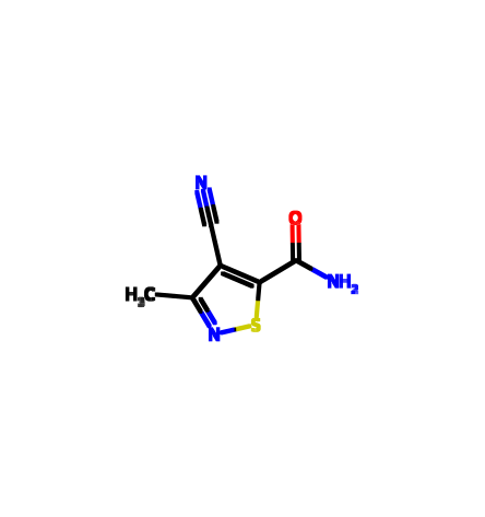 Cc1nsc(C(N)=O)c1C#N